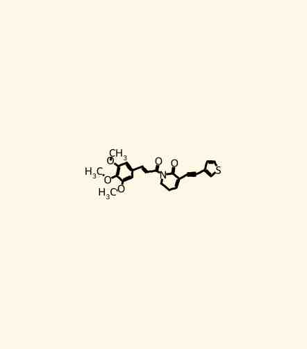 COc1cc(/C=C/C(=O)N2CCC=C(C#Cc3ccsc3)C2=O)cc(OC)c1OC